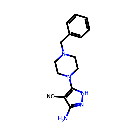 N#Cc1c(N)n[nH]c1N1CCN(Cc2ccccc2)CC1